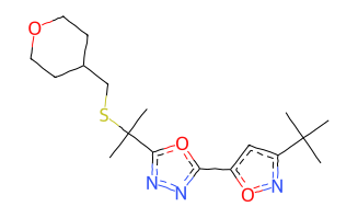 CC(C)(C)c1cc(-c2nnc(C(C)(C)SCC3CCOCC3)o2)on1